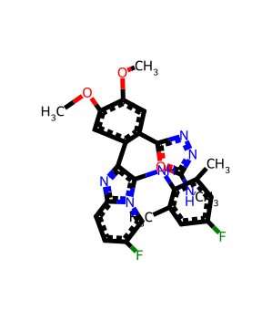 CNc1nnc(-c2cc(OC)c(OC)cc2-c2nc3ccc(F)cn3c2Nc2c(C)cc(F)cc2C)o1